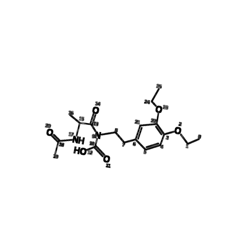 CCOc1ccc(CCN(C(=O)O)C(=O)C(C)NC(C)=O)cc1OCC